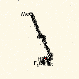 CCN(CC)c1ccc(NC(=O)c2cccc(CCCOCCOCCOCCOCCC(=O)N3CCN(CCOCCOCCOCCOCCOCCOCCOC)C(=O)C3)c2)c(C2=CC2(C=N)CCc2cccc(C(F)(F)F)c2)c1